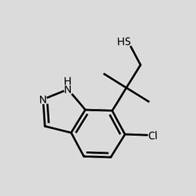 CC(C)(CS)c1c(Cl)ccc2cn[nH]c12